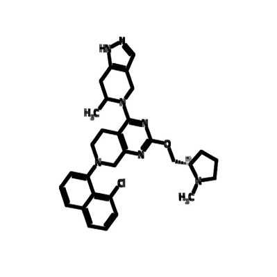 CC1Cc2[nH]ncc2CN1c1nc(OC[C@@H]2CCCN2C)nc2c1CCN(c1cccc3cccc(Cl)c13)C2